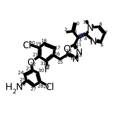 C=C(C)/C(=C1/N=CC=CN1C)c1nnc(Cc2ccc(Cl)c(Oc3cc(N)cc(Cl)c3)c2F)o1